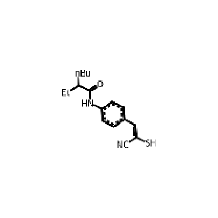 CCCCC(CC)C(=O)Nc1ccc(/C=C(/S)C#N)cc1